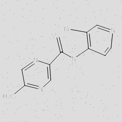 Cc1cnc(C(=O)Nc2ccncc2Br)cn1